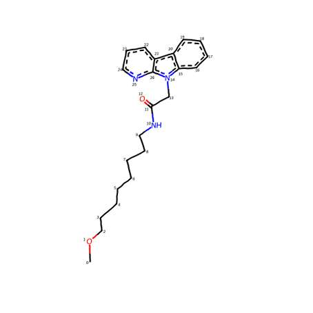 COCCCCCCCCNC(=O)Cn1c2ccccc2c2cccnc21